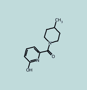 CC1CCN(C(=O)c2cccc(O)n2)CC1